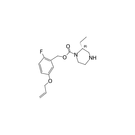 C=CCOc1ccc(F)c(COC(=O)N2CCNC[C@H]2CC)c1